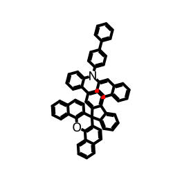 c1ccc(-c2ccc(N(c3ccc4ccccc4c3)c3ccccc3-c3ccc4c(c3)C3(c5ccccc5-4)c4ccc5ccccc5c4Oc4c3ccc3ccccc43)cc2)cc1